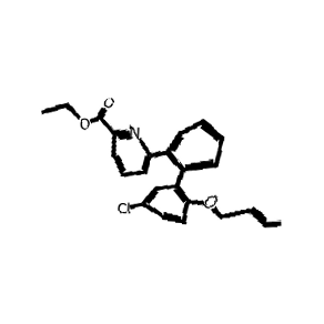 C/C=C/COc1ccc(Cl)cc1-c1ccccc1-c1cccc(C(=O)OCC)n1